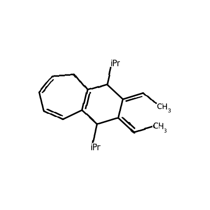 C/C=C1\C(=C/C)C(C(C)C)C2=C(C=CC=CC2)C1C(C)C